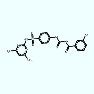 CC(=O)c1cccc(C(=O)NC(=S)Nc2ccc(S(=O)(=O)Nc3nc(C)cc(C)n3)cc2)c1